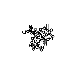 O=C(NCC1CO1)c1cccc(-c2cccc(Oc3cc4c5c(cc(Oc6cccc(-c7cccc(C(=O)NCC8CO8)c7)c6)c6c7c(Oc8cccc(-c9cccc(C(=O)NCC%10CO%10)c9)c8)cc8c9c(cc(Oc%10cccc(-c%11cccc(C(=O)NCC%12CO%12)c%11)c%10)c(c3c56)c97)C(=O)N(C(Cc3ccncc3)C(=O)Nc3ccc(Cl)cc3)C8=O)C(=O)N(C(Cc3ccncc3)C(=O)Nc3ccc(Cl)cc3)C4=O)c2)c1